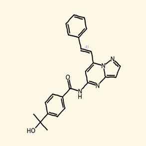 CC(C)(O)c1ccc(C(=O)Nc2cc(/C=C/c3ccccc3)n3nccc3n2)cc1